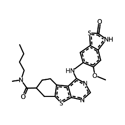 CCCCN(C)C(=O)C1CCc2c(sc3ncnc(Nc4cc5sc(=O)[nH]c5cc4OC)c23)C1